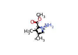 COC(=O)c1c(C)c(C)cn1N